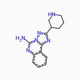 Nc1nc2ccccc2c2nc(C3CCCNC3)nn12